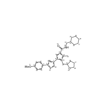 COc1ccc(-c2nc(-c3cc(C(=O)NCC4CCCCC4)c(C)n3CC3CCCO3)cs2)cc1